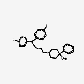 CC(=O)OC1(c2ccccc2)CCN(CCCC(c2ccc(F)cc2)c2ccc(F)cc2)CC1